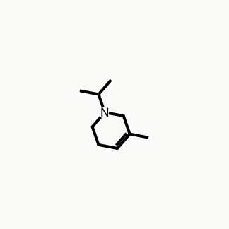 CC1=CCCN(C(C)C)C1